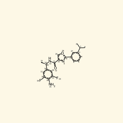 CC(C)c1cccc(-c2nc(C(=O)N[C@H](C)c3cc(F)c(N)c(F)c3)co2)c1